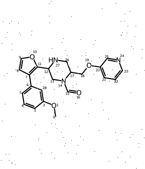 COc1cccc(-c2ccoc2C2CN(C=O)C(COc3cccnc3)CN2)c1